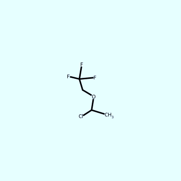 CC(Cl)OCC(F)(F)F